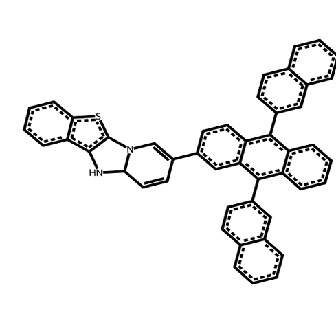 C1=CC2Nc3c(sc4ccccc34)N2C=C1c1ccc2c(-c3ccc4ccccc4c3)c3ccccc3c(-c3ccc4ccccc4c3)c2c1